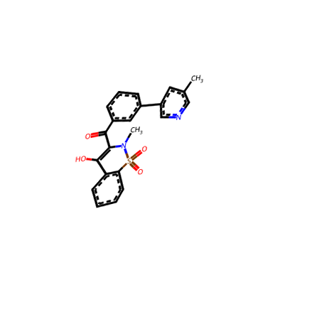 Cc1cncc(-c2cccc(C(=O)C3=C(O)c4ccccc4S(=O)(=O)N3C)c2)c1